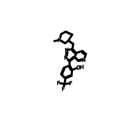 CN1CCCC(Cc2nnc(-c3ccc(C(F)(F)F)cc3O)c3cnccc23)C1